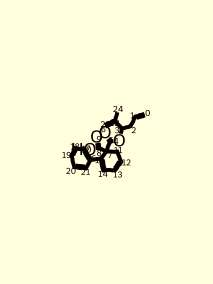 C=CCC(OC(=O)C1(C(=O)O)CC=CC=C1c1ccccc1)C(=C)C